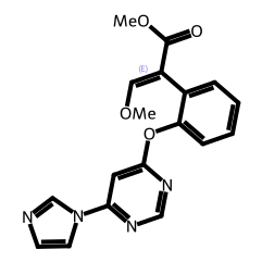 CO/C=C(/C(=O)OC)c1ccccc1Oc1cc(-n2ccnc2)ncn1